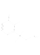 COCC(F)(F)c1cccc(I)c1F